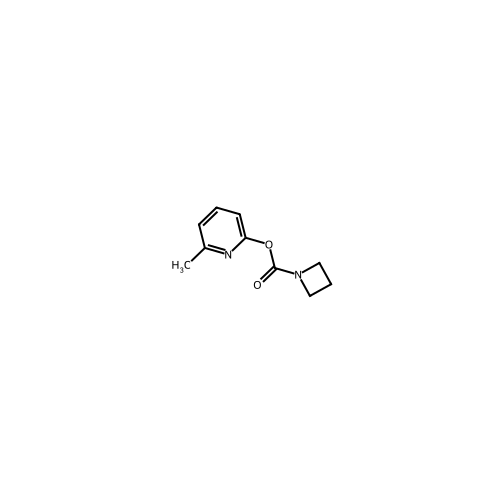 Cc1cccc(OC(=O)N2CCC2)n1